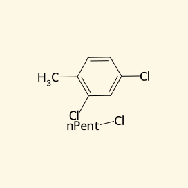 CCCCCCl.Cc1ccc(Cl)cc1Cl